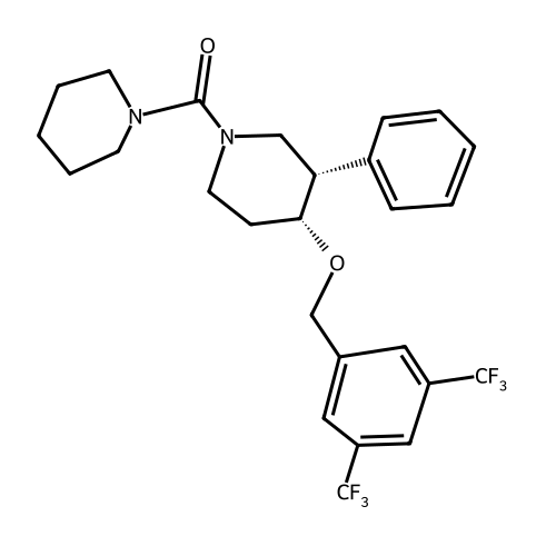 O=C(N1CCCCC1)N1CC[C@@H](OCc2cc(C(F)(F)F)cc(C(F)(F)F)c2)[C@@H](c2ccccc2)C1